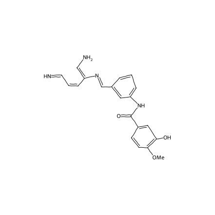 COc1ccc(C(=O)Nc2cccc(/C=N/C(/C=C\C=N)=C\N)c2)cc1O